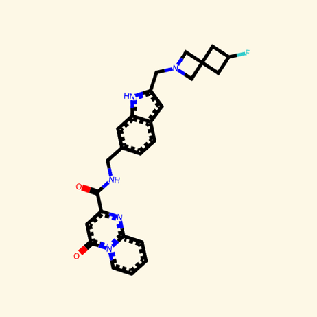 O=C(NCc1ccc2cc(CN3CC4(CC(F)C4)C3)[nH]c2c1)c1cc(=O)n2ccccc2n1